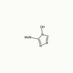 CNc1nncn1O